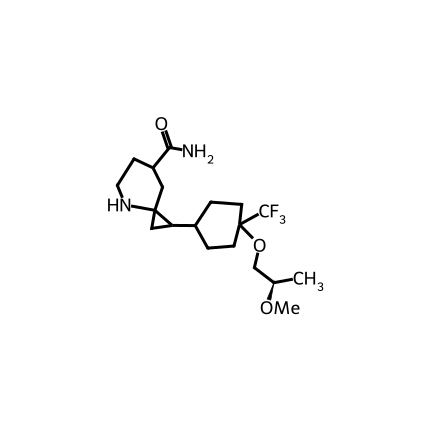 CO[C@H](C)COC1(C(F)(F)F)CCC(C2CC23CC(C(N)=O)CCN3)CC1